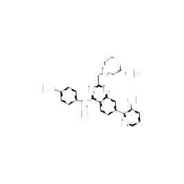 C[C@@H]1CN(Cc2nc(Nc3ccc(C(C)(C)C)cc3)c3ccc(-c4ncccc4C(F)(F)F)cc3n2)CCO1